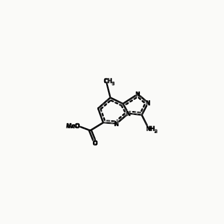 COC(=O)c1cc(C)c2nnc(N)n2n1